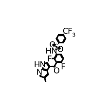 Cc1cnc2[nH]cc(C(=O)c3c(F)ccc(NS(=O)(=O)c4ccc(C(F)(F)F)cc4)c3F)c2c1